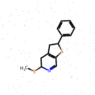 CSC1CC2=C(C=N1)SC(c1ccccc1)C2